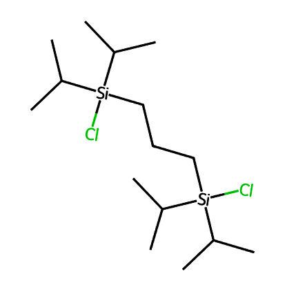 CC(C)[Si](Cl)(CCC[Si](Cl)(C(C)C)C(C)C)C(C)C